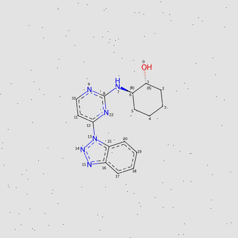 O[C@@H]1CCCC[C@H]1Nc1nccc(-n2nnc3ccccc32)n1